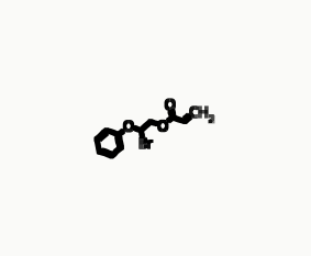 C=CC(=O)OCC(Br)Oc1ccccc1